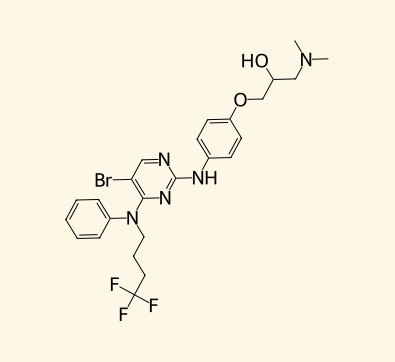 CN(C)CC(O)COc1ccc(Nc2ncc(Br)c(N(CCCC(F)(F)F)c3ccccc3)n2)cc1